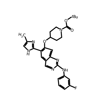 Cc1c[nH]c(-c2cc3cnc(Nc4cccc(F)c4)nc3cc2OC2CCN(C(=O)OC(C)(C)C)CC2)n1